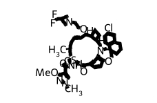 COc1nn(C)cc1C(=O)N[S@@]1(=O)=NC(=O)c2ccc3c(c2)N(C[C@@H]2CC[C@H]2[C@@H](OCCN2CC(C(F)F)C2)/C=C/C[C@H](C)C1)C[C@@]1(CCCc2cc(Cl)ccc21)CO3